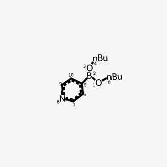 CCCCOB(OCCCC)c1ccncc1